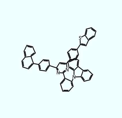 c1ccc(-n2c3ccccc3c3ccccc32)c(-c2nc(-c3ccc(-c4cc5ccccc5s4)cc3)cc(-c3ccc(-c4cccc5ccccc45)cc3)n2)c1